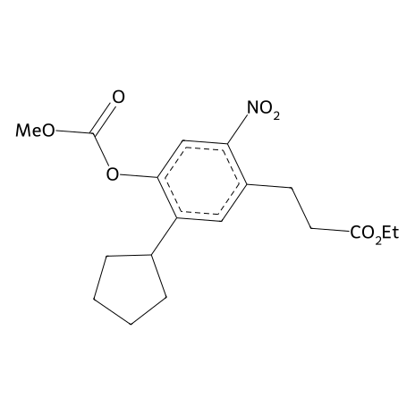 CCOC(=O)CCc1cc(C2CCCC2)c(OC(=O)OC)cc1[N+](=O)[O-]